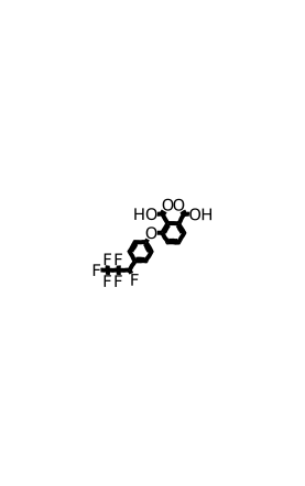 O=C(O)c1cccc(Oc2ccc(C(F)C(F)(F)C(F)(F)F)cc2)c1C(=O)O